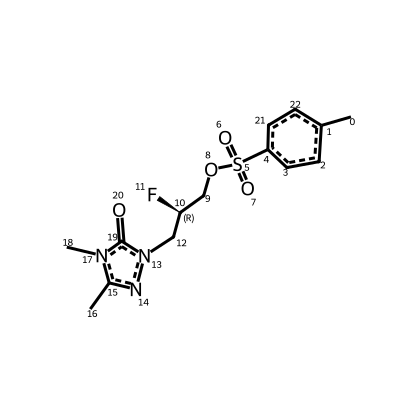 Cc1ccc(S(=O)(=O)OC[C@H](F)Cn2nc(C)n(C)c2=O)cc1